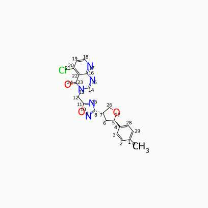 Cc1ccc([C@H]2C[C@H](c3noc(Cn4cnc5nccc(Cl)c5c4=O)n3)CO2)cc1